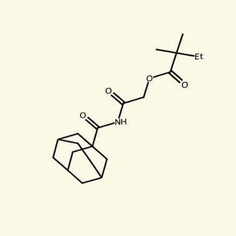 CCC(C)(C)C(=O)OCC(=O)NC(=O)C12CC3CC(CC(C3)C1)C2